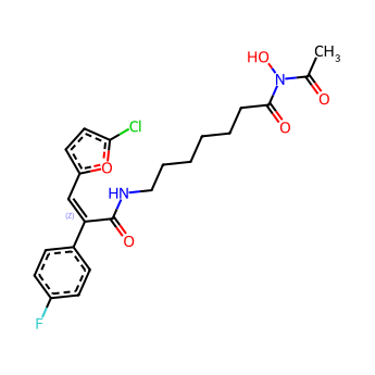 CC(=O)N(O)C(=O)CCCCCCNC(=O)/C(=C\c1ccc(Cl)o1)c1ccc(F)cc1